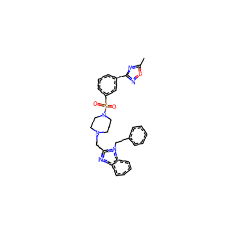 Cc1nc(-c2cccc(S(=O)(=O)N3CCN(Cc4nc5ccccc5n4Cc4ccccc4)CC3)c2)no1